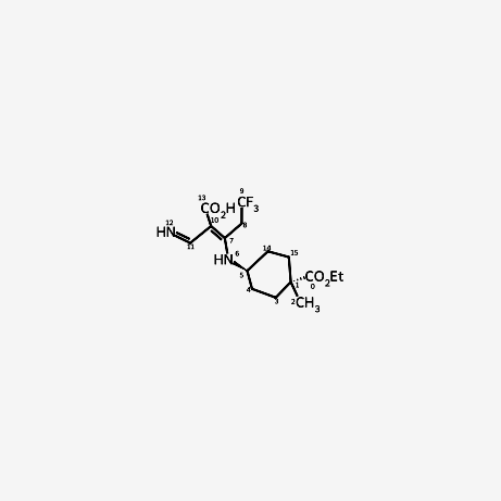 CCOC(=O)[C@]1(C)CC[C@@H](N/C(CC(F)(F)F)=C(\C=N)C(=O)O)CC1